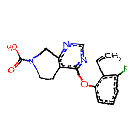 C=Cc1c(F)cccc1Oc1ncnc2c1CCN(C(=O)O)C2